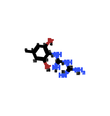 Cc1cc(Br)c(NC(=N)NC(=N)N)c(Br)c1